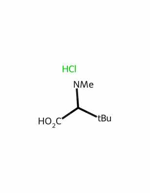 CNC(C(=O)O)C(C)(C)C.Cl